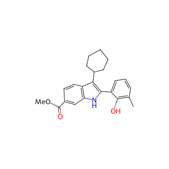 COC(=O)c1ccc2c(C3CCCCC3)c(-c3cccc(C)c3O)[nH]c2c1